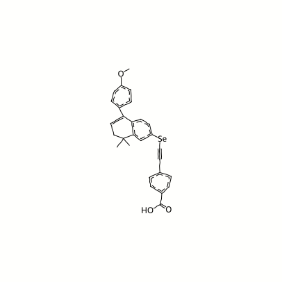 COc1ccc(C2=CCC(C)(C)c3cc([Se]C#Cc4ccc(C(=O)O)cc4)ccc32)cc1